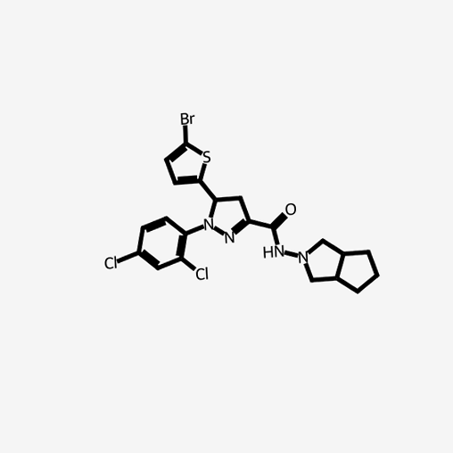 O=C(NN1CC2CCCC2C1)C1=NN(c2ccc(Cl)cc2Cl)C(c2ccc(Br)s2)C1